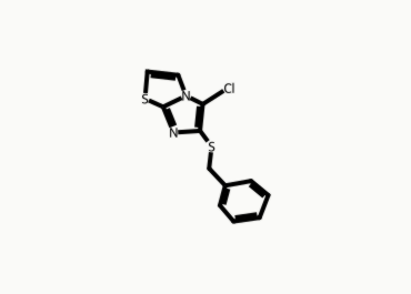 Clc1c(SCc2ccccc2)nc2sccn12